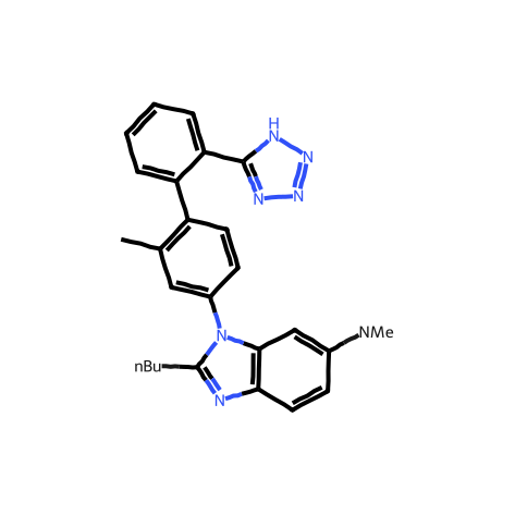 CCCCc1nc2ccc(NC)cc2n1-c1ccc(-c2ccccc2-c2nnn[nH]2)c(C)c1